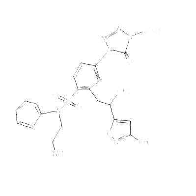 CCCCCCCCn1nnn(-c2ccc(S(=O)(=O)N(CCN)c3ccccc3)c(CC(O)c3cc(C)no3)c2)c1=O